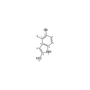 Cc1c(Br)ccc2[nH]c(O)cc12